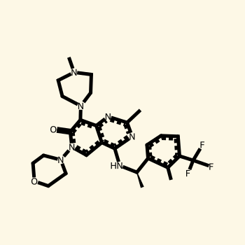 Cc1nc(N[C@H](C)c2cccc(C(F)(F)F)c2C)c2cn(N3CCOCC3)c(=O)c(N3CCN(C)CC3)c2n1